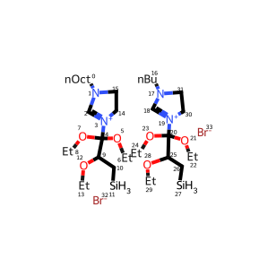 CCCCCCCCN1C=[N+](C(OCC)(OCC)C(C[SiH3])OCC)CC1.CCCCN1C=[N+](C(OCC)(OCC)C(C[SiH3])OCC)CC1.[Br-].[Br-]